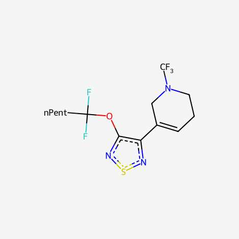 CCCCCC(F)(F)Oc1nsnc1C1=CCCN(C(F)(F)F)C1